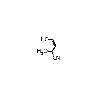 C/C=C\C(C)C#N